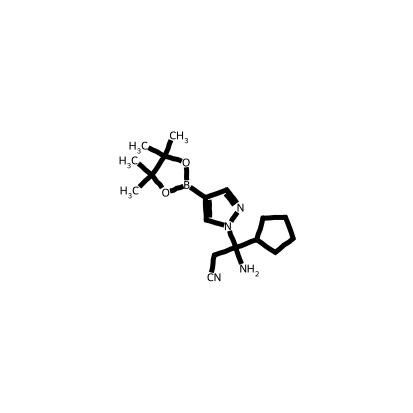 CC1(C)OB(c2cnn(C(N)(CC#N)C3CCCC3)c2)OC1(C)C